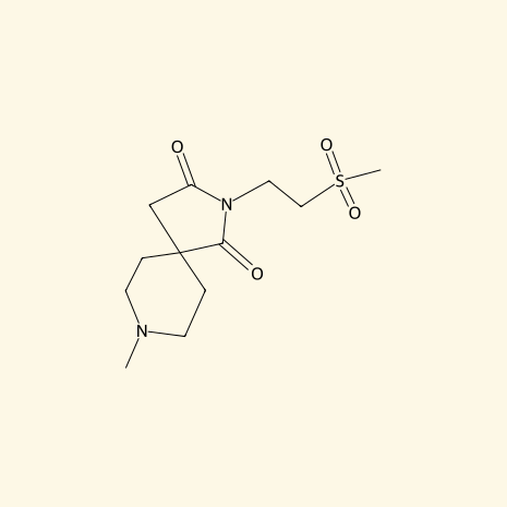 CN1CCC2(CC1)CC(=O)N(CCS(C)(=O)=O)C2=O